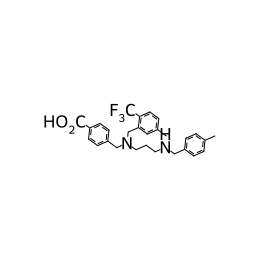 Cc1ccc(CNCCCN(Cc2ccc(C(=O)O)cc2)Cc2cc(C)ccc2C(F)(F)F)cc1